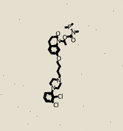 CC(OC(=O)N(C)P(C)C)N1C(=O)CCc2ccc(OCCCCN3CCN(c4cccc(Cl)c4Cl)CC3)cc21